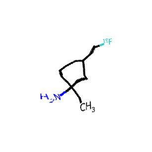 CC1(N)CC(C[18F])C1